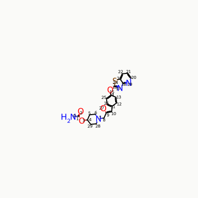 NC(=O)OC1CCN(Cc2cc3ccc(Oc4nc5ncccc5s4)cc3o2)CC1